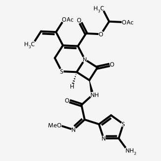 C/C=C(/OC(C)=O)C1=C(C(=O)OC(C)OC(C)=O)N2C(=O)[C@@H](NC(=O)/C(=N\OC)c3csc(N)n3)[C@H]2SC1